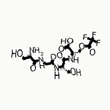 N[C@@H](CO)C(=O)NCC(=O)N[C@@H](CO)C(=O)N[C@@H](COC(=O)C(F)(F)F)C(=O)O